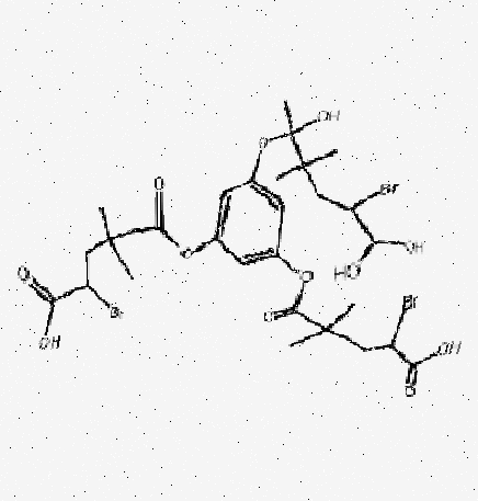 CC(C)(CC(Br)C(=O)O)C(=O)Oc1cc(OC(=O)C(C)(C)CC(Br)C(=O)O)cc(OC(C)(O)C(C)(C)CC(Br)C(O)O)c1